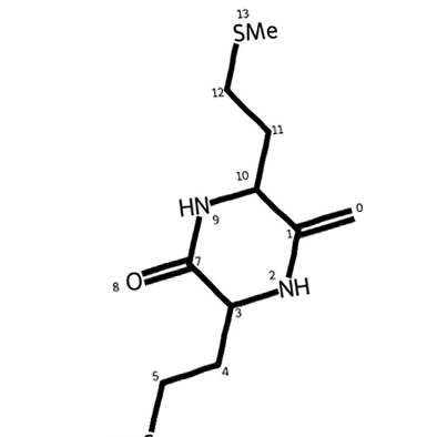 C=C1NC(CCSC)C(=O)NC1CCSC